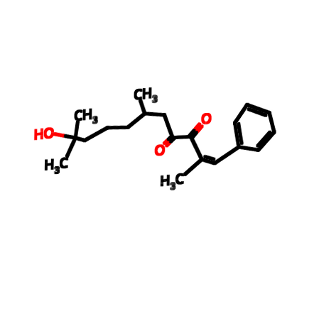 CC(=Cc1ccccc1)C(=O)C(=O)CC(C)CCCC(C)(C)O